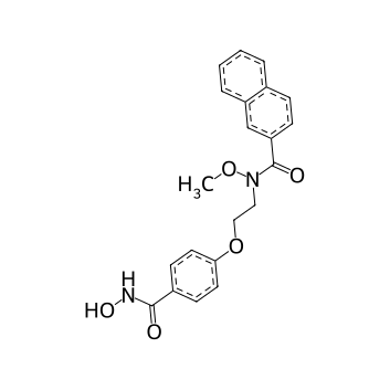 CON(CCOc1ccc(C(=O)NO)cc1)C(=O)c1ccc2ccccc2c1